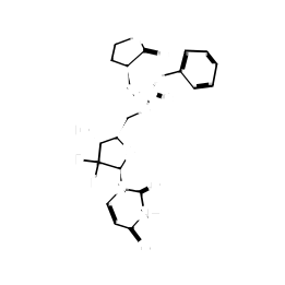 O=C1OCC[C@@H]1N[P@](=O)(OC[C@H]1O[C@@H](n2ccc(=O)[nH]c2=O)C(F)(F)[C@@H]1O)Oc1ccccc1